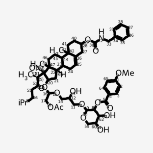 COc1ccc(C(=O)OC2C(OCC(O)COC(COC(C)=O)OC3C[C@H]4C5CC=C6CC(OC(=O)NCc7ccccc7)CCC6(C)C5CCC4(C)[C@@]3(N=O)[C@H](C)C(=O)CCC(C)C)OCC(O)C2O)cc1